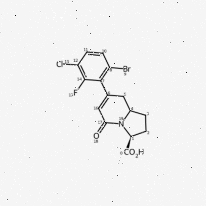 O=C(O)[C@@H]1CCC2CC(c3c(Br)ccc(Cl)c3F)=CC(=O)N21